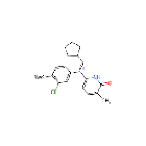 CSc1ccc(/C(=C\C2CCCC2)c2ccc(C)c(=O)[nH]2)cc1Cl